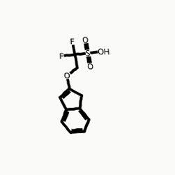 O=S(=O)(O)C(F)(F)COC1=Cc2ccccc2C1